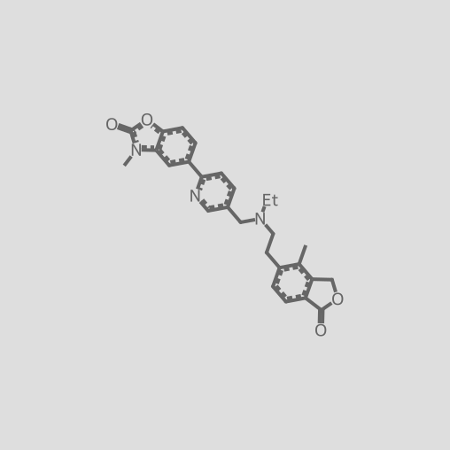 CCN(CCc1ccc2c(c1C)COC2=O)Cc1ccc(-c2ccc3oc(=O)n(C)c3c2)nc1